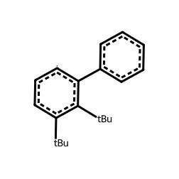 CC(C)(C)c1cc[c]c(-c2ccccc2)c1C(C)(C)C